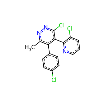 Cc1nnc(Cl)c(-c2ncccc2Cl)c1-c1ccc(Cl)cc1